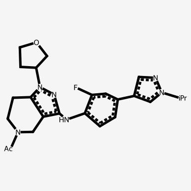 CC(=O)N1CCc2c(c(Nc3ccc(-c4cnn(C(C)C)c4)cc3F)nn2C2CCOC2)C1